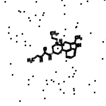 CCCN1C[C@@H](NC(=O)NCC)CC2c3cccc4[nH]c(C)c(c34)C[C@H]21